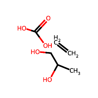 C=C.CC(O)CO.O=C(O)O